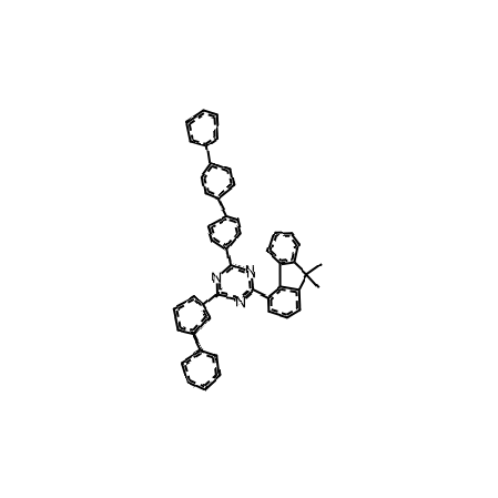 CC1(C)c2ccccc2-c2c(-c3nc(-c4ccc(-c5ccc(-c6ccccc6)cc5)cc4)nc(-c4cccc(-c5ccccc5)c4)n3)cccc21